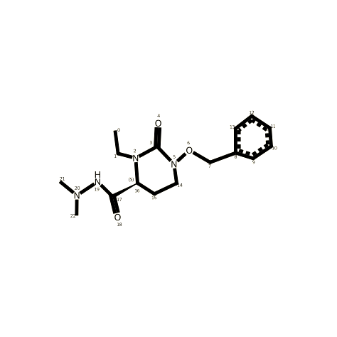 CCN1C(=O)N(OCc2ccccc2)CC[C@H]1C(=O)NN(C)C